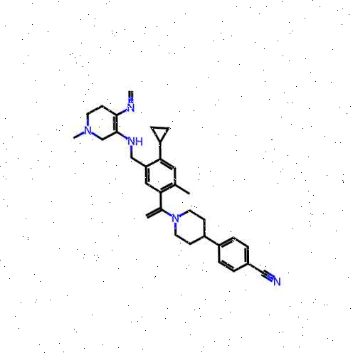 C=NC1=C(NCc2cc(C(=C)N3CCC(c4ccc(C#N)cc4)CC3)c(C)cc2C2CC2)CN(C)CC1